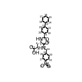 O=C(O)CC[C@H](NC(=O)c1ccc(-c2ccccc2)cc1)C(=O)NCc1ccc([N+](=O)[O-])cc1